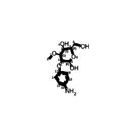 CO[C@H]1[C@@H](O)[C@@H](CO)O[C@@H](O)[C@@H]1Oc1ccc(N)cc1